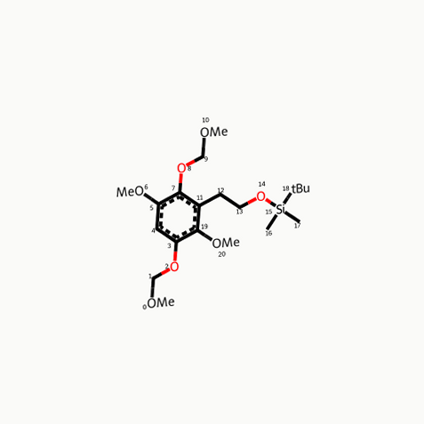 COCOc1cc(OC)c(OCOC)c(CCO[Si](C)(C)C(C)(C)C)c1OC